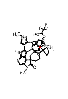 CN1C(=O)C2(CCN(C3(CC#N)CCC3)CC2)c2c1cnc1[nH]c(-c3cn(C)nc3C3CC3)c(-c3ccc4c(cnn4C)c3)c21.O=C(O)C(F)(F)F